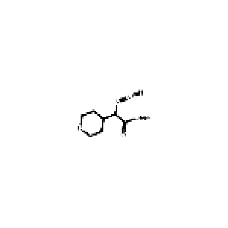 COC(=O)C(N=[N+]=[N-])C1CCOCC1